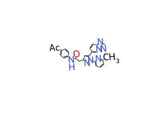 CC(=O)c1ccc(NC(=O)Cc2cc(-c3ccc4ncnn4c3)n(-c3cccc(C)n3)n2)cc1